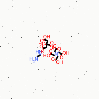 NCCNOC(=O)CC(O)(CC(=O)O)C(=O)O.O=C(O)C[N+](CC(=O)O)(CC(=O)O)CC(=O)O